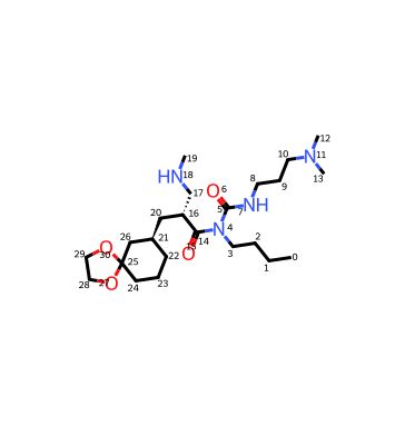 CCCCN(C(=O)NCCCN(C)C)C(=O)[C@@H](CNC)C[C@H]1CCCC2(C1)OCCO2